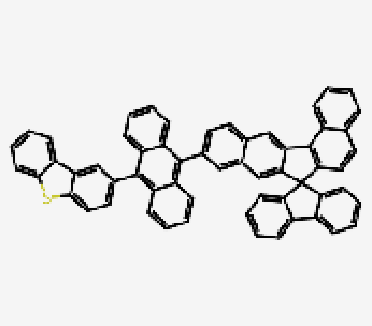 c1ccc2c(c1)-c1ccccc1C21c2cc3cc(-c4c5ccccc5c(-c5ccc6sc7ccccc7c6c5)c5ccccc45)ccc3cc2-c2c1ccc1ccccc21